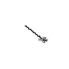 CCCCCCCCCCCCCCCCNS(=O)(=O)C(F)(F)F